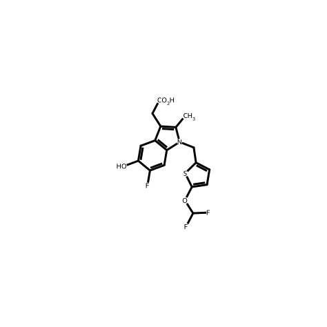 Cc1c(CC(=O)O)c2cc(O)c(F)cc2n1Cc1ccc(OC(F)F)s1